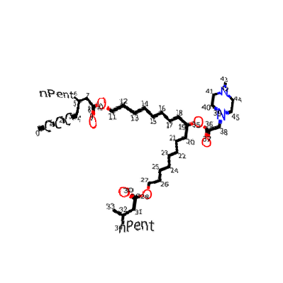 C=C=C=C=CC(CCCCC)CC(=O)OCCCCCCCCC(CCCCCCCCOC(=O)CC(C)CCCCC)OC(=O)CN1CCN(C)CC1